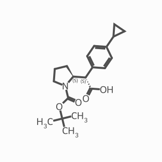 CC(C)(C)OC(=O)N1CCC[C@H]1[C@@H](C(=O)O)c1ccc(C2CC2)cc1